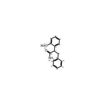 COc1ccccc1C(Cc1ccccc1)C(N)=O